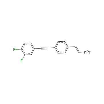 CCC/C=C/c1ccc(C#Cc2ccc(F)c(F)c2)cc1